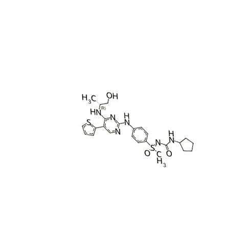 C[C@H](CO)Nc1nc(Nc2ccc(S(C)(=O)=NC(=O)NC3CCCC3)cc2)ncc1-c1cccs1